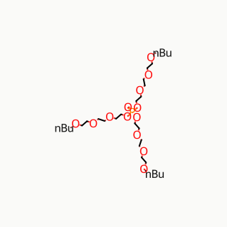 CCCCOCCOCCOCCOP(=O)(OCCOCCOCCOCCCC)OCCOCCOCCOCCCC